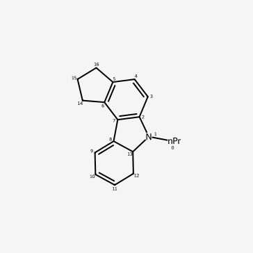 CCCN1c2ccc3c(c2C2=CC=CCC21)CCC3